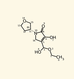 CCOC(O)C1=C(O)C(=O)N([C@@H]2CCOC2)C1